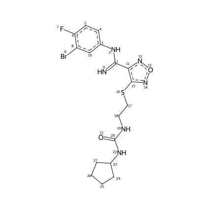 N=C(Nc1ccc(F)c(Br)c1)c1nonc1SCCNC(=O)NC1CCCC1